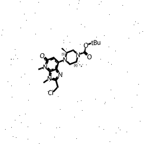 C[C@@H]1CN(c2cc(=O)n(C)c3c2nc(CCl)n3C)[C@@H](C)CN1C(=O)OC(C)(C)C